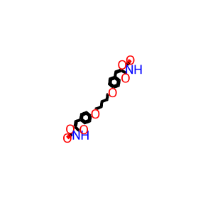 O=C1NC(=O)/C(=C\c2ccc(OCCCCCOc3ccc(/C=C4/OC(=O)NC4=O)cc3)cc2)O1